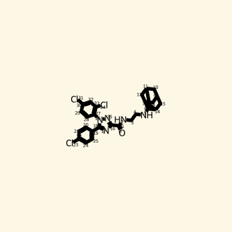 O=C(NCCNC1C2CC3CC(C2)CC1C3)c1nc(-c2ccc(Cl)cc2)n(-c2ccc(Cl)cc2Cl)n1